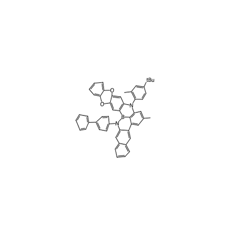 Cc1cc2c3c(c1)N(c1ccc(C(C)(C)C)cc1C)c1cc4c(cc1B3N(c1ccc(-c3ccccc3)cc1)c1cc3ccccc3cc1-2)Oc1ccccc1O4